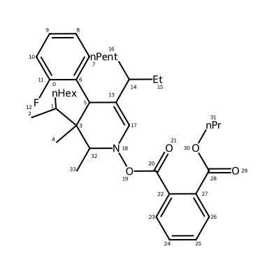 CCCCCCC(C)C1(C)C(c2ccccc2F)C(C(CC)CCCCC)=CN(OC(=O)c2ccccc2C(=O)OCCC)C1C